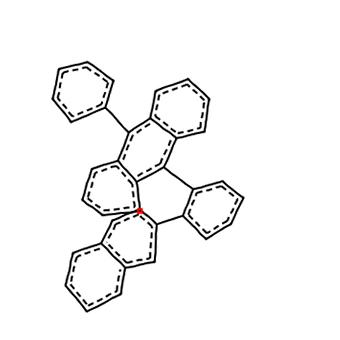 c1ccc(-c2c3ccccc3c(-c3ccccc3-c3ccc4ccccc4c3)c3ccccc23)cc1